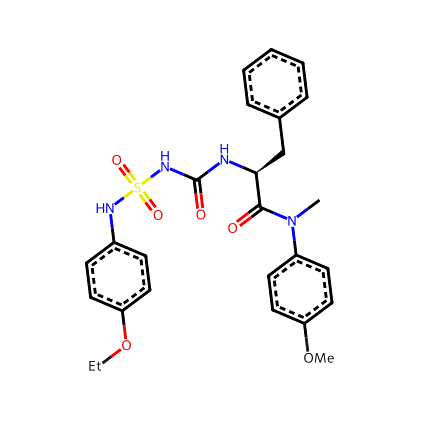 CCOc1ccc(NS(=O)(=O)NC(=O)N[C@@H](Cc2ccccc2)C(=O)N(C)c2ccc(OC)cc2)cc1